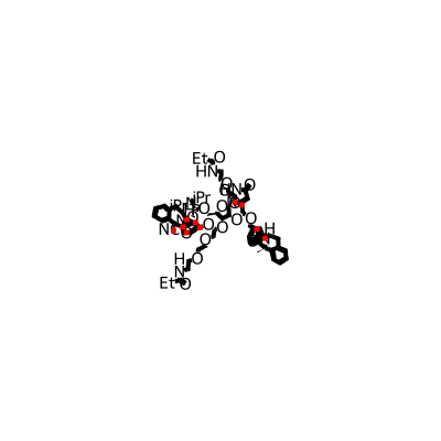 CCC(=O)NCCOCCOCC(OCCC(=O)N1[C@@H]2Cc3ccccc3[C@@]1(C)c1ccccc12)O[C@@H]1[C@H](OC(COCCOCCNC(=O)CC)OCCC(=O)N2[C@@H]3Cc4ccccc4[C@@]2(C)c2ccccc23)[C@@H](COP(OCCC#N)N(C(C)C)C(C)C)O[C@H]1n1ccc(=O)[nH]c1=O